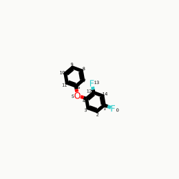 Fc1ccc(Oc2[c]cccc2)c(F)c1